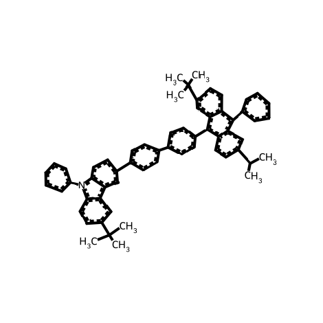 CC(C)c1ccc2c(-c3ccc(-c4ccc(-c5ccc6c(c5)c5cc(C(C)(C)C)ccc5n6-c5ccccc5)cc4)cc3)c3cc(C(C)(C)C)ccc3c(-c3ccccc3)c2c1